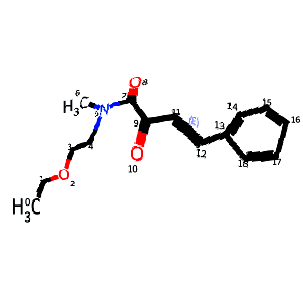 CCOCCN(C)C(=O)C(=O)/C=C/c1ccccc1